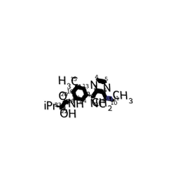 C=C(c1nccnc1/C(C#N)=C\C)[C@H]1C[C@@H](C)C[C@@H](NC(=O)[C@@H](O)C(C)C)C1